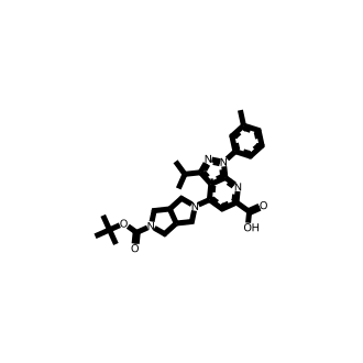 Cc1cccc(-n2nc(C(C)C)c3c(N4CC5CN(C(=O)OC(C)(C)C)CC5C4)cc(C(=O)O)nc32)c1